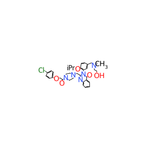 CC(C)Oc1ccc(CN(C)CCO)cc1-n1c(CN2CCN(C(=O)COc3ccc(Cl)cc3)CC2)nc2ccccc2c1=O